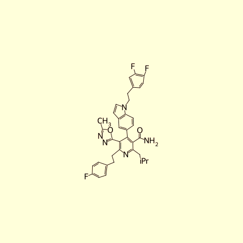 Cc1nnc(-c2c(CCc3ccc(F)cc3)nc(CC(C)C)c(C(N)=O)c2-c2ccc3c(ccn3CCc3ccc(F)c(F)c3)c2)o1